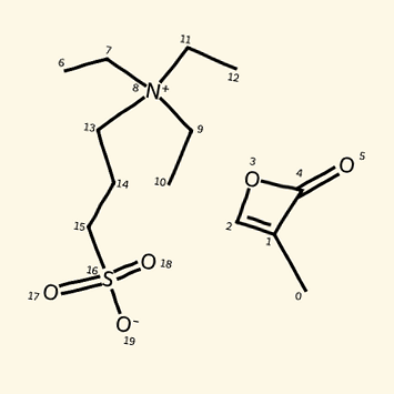 CC1=COC1=O.CC[N+](CC)(CC)CCCS(=O)(=O)[O-]